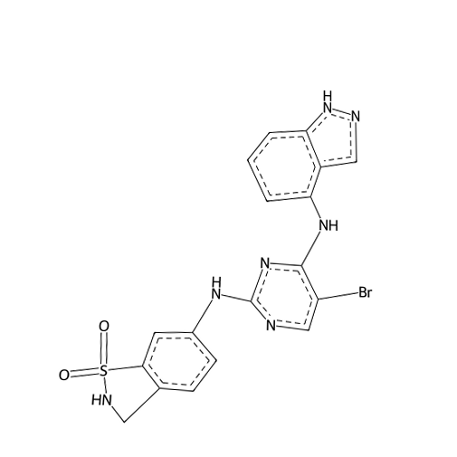 O=S1(=O)NCc2ccc(Nc3ncc(Br)c(Nc4cccc5[nH]ncc45)n3)cc21